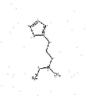 CCN(C)CCCc1cccs1